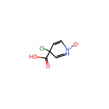 O=C(O)C1(Cl)C=C[NH+]([O-])C=C1